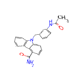 CC(=O)Nc1cccc(Cn2c3ccc[c]c3c3c(C(N)=O)cccc32)c1